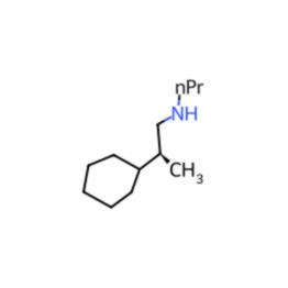 CCCNC[C@@H](C)C1CCCCC1